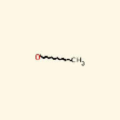 CCCC=CCCCCCC=CC=O